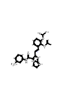 C=C(C)Oc1c(/C=C/c2nc3sccn3c2C(=O)Nc2cccc(C(F)(F)F)c2)cccc1OC(F)F